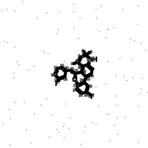 CC1=CC(C)(C)Nc2ccc3c(c21)C(=Cc1cccc(F)c1)Oc1ccc(F)cc1-3